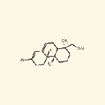 CC(=O)OC[C@@]1(C)CCC[C@@]2(C)C1CC=C1C=C(C(C)C)CC[C@H]12